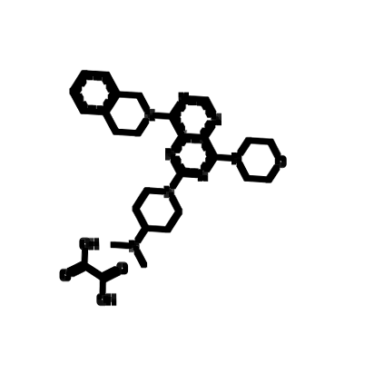 CN(C)C1CCN(c2nc(N3CCOCC3)c3ncnc(N4CCc5ccccc5C4)c3n2)CC1.O=C(O)C(=O)O